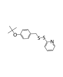 CC(C)(C)Oc1ccc(CSSc2ccccn2)cc1